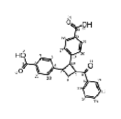 O=C(O)c1ccc(C2CC(C(=O)c3ccccc3)C2c2ccc(C(=O)O)cc2)cc1